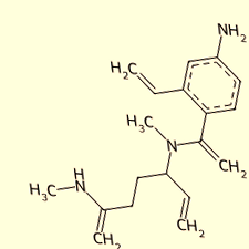 C=Cc1cc(N)ccc1C(=C)N(C)C(C=C)CCC(=C)NC